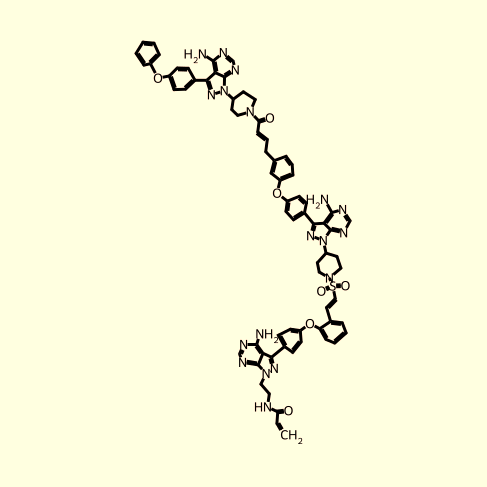 C=CC(=O)NCCn1nc(-c2ccc(Oc3ccccc3/C=C/S(=O)(=O)N3CCC(n4nc(-c5ccc(Oc6cccc(C/C=C/C(=O)N7CCC(n8nc(-c9ccc(Oc%10ccccc%10)cc9)c9c(N)ncnc98)CC7)c6)cc5)c5c(N)ncnc54)CC3)cc2)c2c(N)ncnc21